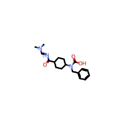 CN(C)/C=N/C(=O)C1CCC(N(Cc2ccccc2)C(=O)O)CC1